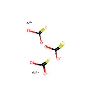 [Al+3].[Al+3].[O-]C([O-])=S.[O-]C([O-])=S.[O-]C([O-])=S